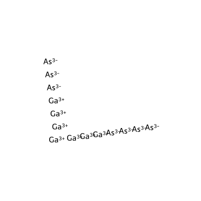 [As-3].[As-3].[As-3].[As-3].[As-3].[As-3].[As-3].[Ga+3].[Ga+3].[Ga+3].[Ga+3].[Ga+3].[Ga+3].[Ga+3]